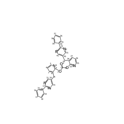 O=C(Oc1ncccc1Cc1cnc(-c2ccccc2)nc1)Oc1ncccc1Cc1cnc(-c2ccccc2)nc1